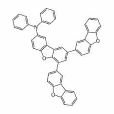 c1ccc(N(c2ccccc2)c2ccc3oc4c(-c5ccc6oc7ccccc7c6c5)cc(-c5ccc6oc7ccccc7c6c5)cc4c3c2)cc1